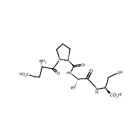 CC(C)[C@H](NC(=O)[C@@H]1CCCN1C(=O)[C@@H](N)CC(=O)O)C(=O)N[C@@H](CS)C(=O)O